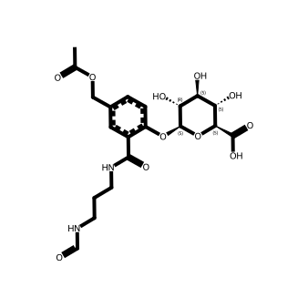 CC(=O)OCc1ccc(O[C@@H]2O[C@H](C(=O)O)[C@@H](O)[C@H](O)[C@H]2O)c(C(=O)NCCCNC=O)c1